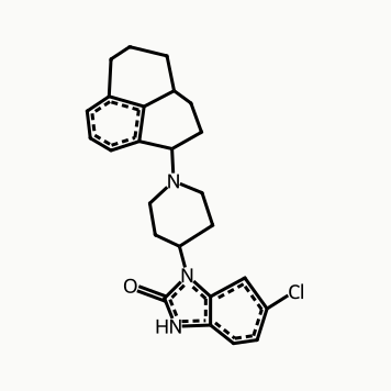 O=c1[nH]c2ccc(Cl)cc2n1C1CCN(C2CCC3CCCc4cccc2c43)CC1